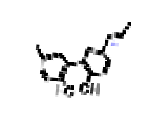 C/C=C/c1ccc(O)c(-c2cc(C)ccc2O)c1